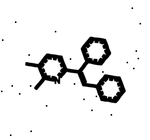 Cc1ccc(C(=Cc2ccccc2)c2ccccc2)nc1C